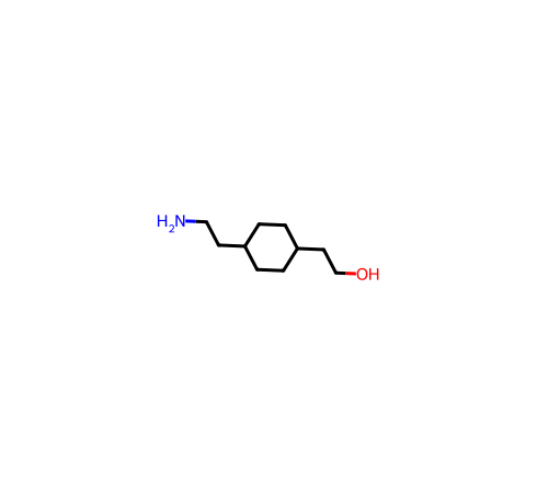 NCCC1CCC(CCO)CC1